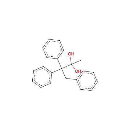 CC(O)(O)C(Cc1ccccc1)(c1ccccc1)c1ccccc1